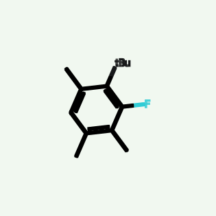 Cc1cc(C)c(C(C)(C)C)c(F)c1C